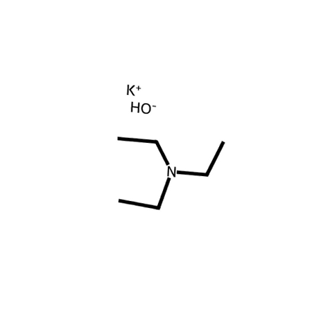 CCN(CC)CC.[K+].[OH-]